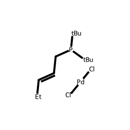 CCC=CCP(C(C)(C)C)C(C)(C)C.[Cl][Pd][Cl]